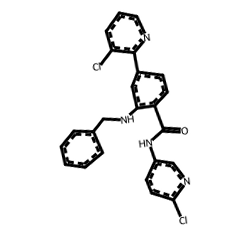 O=C(Nc1ccc(Cl)nc1)c1ccc(-c2ncccc2Cl)cc1NCc1ccccc1